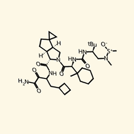 CN(C[C@@H](NC(=O)N[C@H](C(=O)N1C[C@H]2[C@H](CCC23CC3)[C@H]1C(=O)NC(CC1CCC1)C(=O)C(N)=O)C1(C)CCCCC1)C(C)(C)C)[S+](C)[O-]